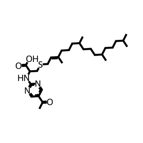 CC(=O)c1cnc(NC(CSC/C=C(\C)CCCC(C)CCCC(C)CCCC(C)C)C(=O)O)nc1